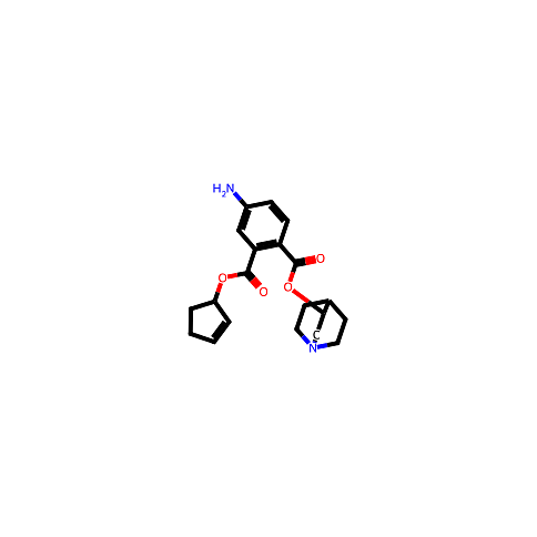 Nc1ccc(C(=O)OC2CN3CCC2CC3)c(C(=O)OC2C=CCC2)c1